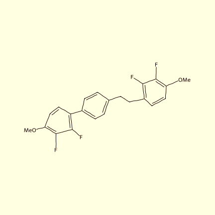 COc1ccc(CCc2ccc(-c3ccc(OC)c(F)c3F)cc2)c(F)c1F